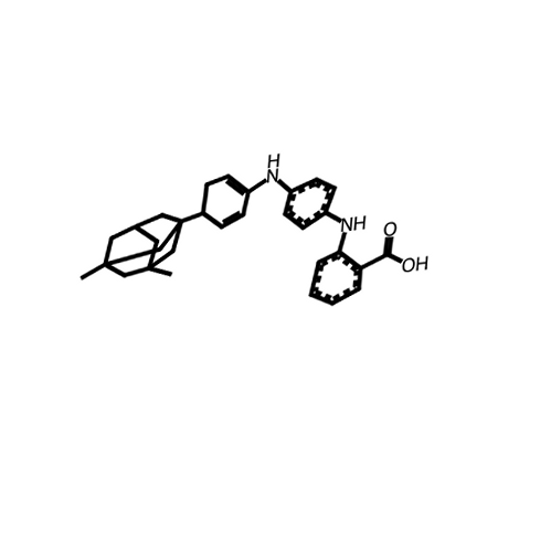 CC12CC3CC(C)(C1)CC(C1C=CC(Nc4ccc(Nc5ccccc5C(=O)O)cc4)=CC1)(C3)C2